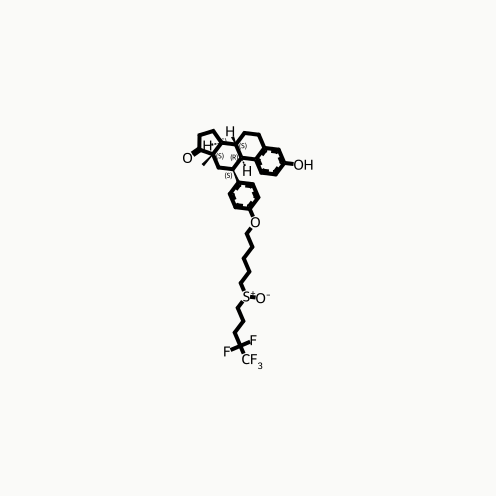 C[C@]12C[C@H](c3ccc(OCCCCC[S+]([O-])CCCC(F)(F)C(F)(F)F)cc3)[C@@H]3c4ccc(O)cc4CC[C@H]3[C@@H]1CCC2=O